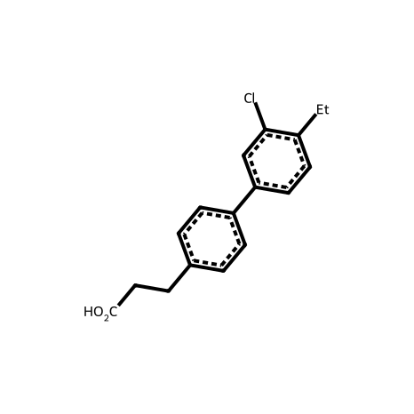 CCc1ccc(-c2ccc(CCC(=O)O)cc2)cc1Cl